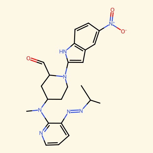 CC(C)N=Nc1cccnc1N(C)C1CCN(c2cc3cc([N+](=O)[O-])ccc3[nH]2)C(C=O)C1